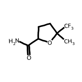 CC1(C(F)(F)F)CCC(C(N)=O)O1